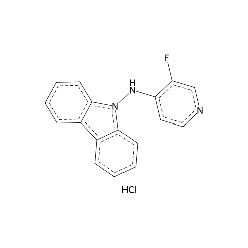 Cl.Fc1cnccc1Nn1c2ccccc2c2ccccc21